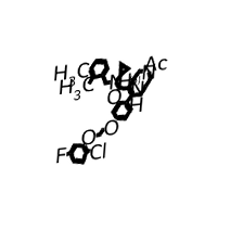 CC(=O)N1CC2CC(c3ccc(OCCOc4cc(F)ccc4Cl)cc3)=C(C(=O)N(Cc3cccc(C)c3C)C3CC3)[C@@H](C1)N2